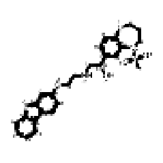 CS(=O)(=O)N1CCCOc2ccc([C@@H](O)CNCCOc3ccc4c(c3)sc3ccccc34)cc21